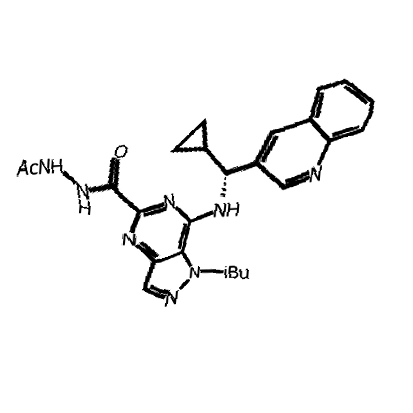 CCC(C)n1ncc2nc(C(=O)NNC(C)=O)nc(N[C@@H](c3cnc4ccccc4c3)C3CC3)c21